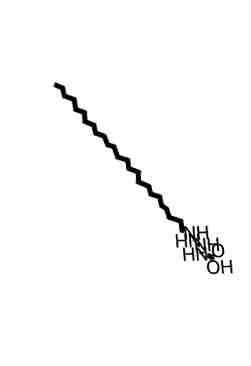 CCCCCCCCCCCCCCCCCCCCCCCCCNNNNC(=O)O